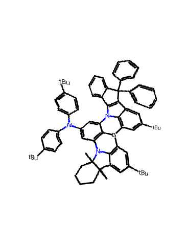 CC(C)(C)c1ccc(N(c2ccc(C(C)(C)C)cc2)c2cc3c4c(c2)-n2c5c(c6cc(C(C)(C)C)cc(c62)B4c2cc(C(C)(C)C)cc4c2N3C2(C)CCCCC42C)C(c2ccccc2)(c2ccccc2)c2ccccc2-5)cc1